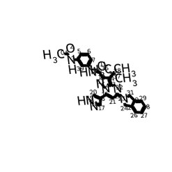 CC(=O)Nc1cccc(NC(=O)c2nn3c(-c4cn[nH]c4)cc(N4Cc5ccccc5C4)nc3c2C(C)(C)C)c1